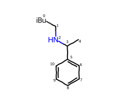 CCC(C)CNC(C)c1ccccc1